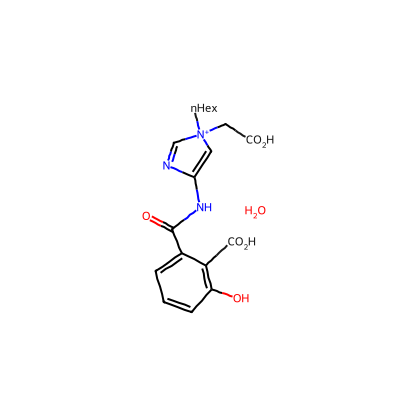 CCCCCC[N+]1(CC(=O)O)C=NC(NC(=O)c2cccc(O)c2C(=O)O)=C1.O